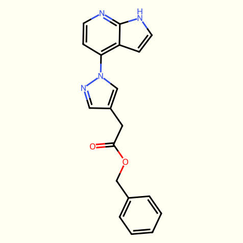 O=C(Cc1cnn(-c2ccnc3[nH]ccc23)c1)OCc1ccccc1